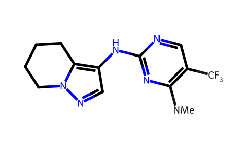 CNc1nc(Nc2cnn3c2CCCC3)ncc1C(F)(F)F